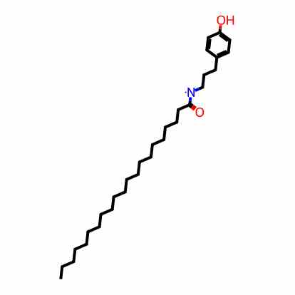 CCCCCCCCCCCCCCCCCCCCC(=O)[N]CCCc1ccc(O)cc1